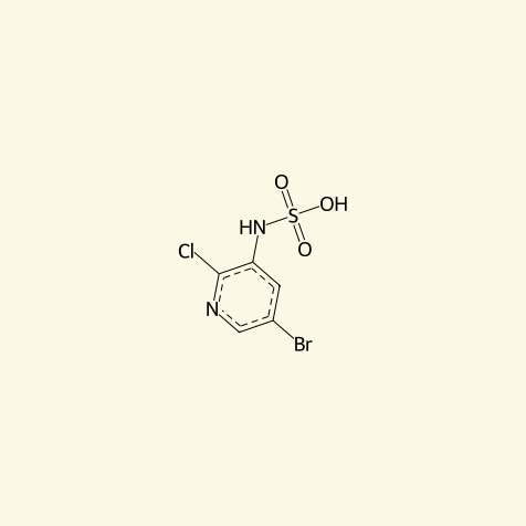 O=S(=O)(O)Nc1cc(Br)cnc1Cl